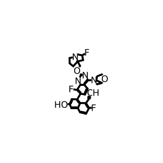 C#Cc1c(F)ccc2cc(O)cc(-c3ccc4c(N5CC6CC5CO6)nc(OCC56CCCN5CC(F)C6)nc4c3F)c12